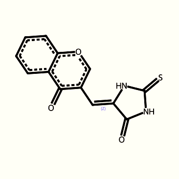 O=C1NC(=S)N/C1=C\c1coc2ccccc2c1=O